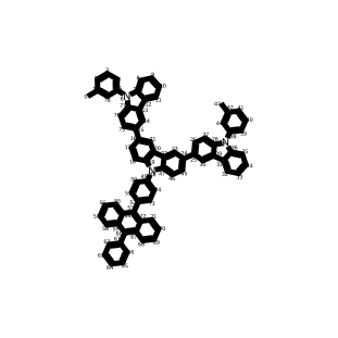 Cc1cccc(-n2c3ccccc3c3cc(-c4ccc5c(c4)c4cc(-c6ccc7c(c6)c6ccccc6n7-c6cccc(C)c6)ccc4n5-c4ccc(-c5c6ccccc6c(-c6ccccc6)c6ccccc56)cc4)ccc32)c1